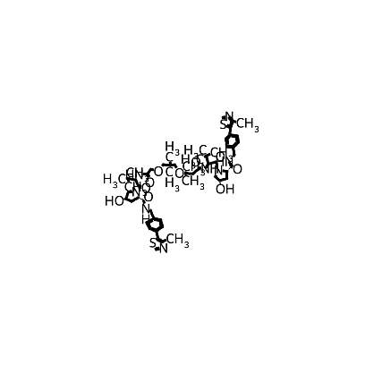 Cc1ncsc1-c1ccc(CNC(=O)[C@@H]2C[C@H](O)CN2C(=O)C(NC(=O)CC(C)(C)OCC(C)(C)COCC(=O)N[C@H](C(=O)N2C[C@@H](O)C[C@H]2C(=O)NCc2ccc(-c3scnc3C)cc2)C(C)(C)C)C(C)(C)C)cc1